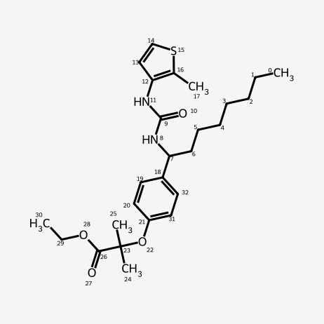 CCCCCCCC(NC(=O)Nc1ccsc1C)c1ccc(OC(C)(C)C(=O)OCC)cc1